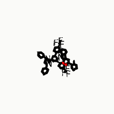 Cc1ccccc1-c1ccc2c(c1)c1ccccc1n2-c1c(-c2ccc(C(F)(F)F)cc2)cc(-c2nc(-c3ccccc3)cc(-c3ccccc3)n2)cc1-c1ccc(C(F)(F)F)cc1